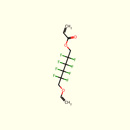 C=COCC(F)(F)C(F)(F)C(F)(F)C(F)(F)COC(=O)C=C